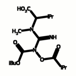 CC(C)COC(=O)N(OC(=O)C(C)C)C(=N)N(C)C(C(=O)O)C(C)C